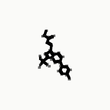 COC(=O)/C=C/c1nc(C(F)(F)F)n2cc(-c3ccc(C)cc3)ccc12